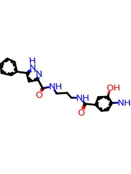 Nc1ccc(C(=O)NCCCNC(=O)c2cc(-c3ccccc3)[nH]n2)cc1O